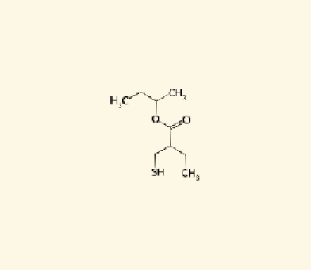 CCC(C)OC(=O)C(CC)CS